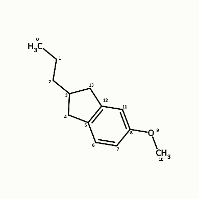 CCCC1Cc2ccc(OC)cc2C1